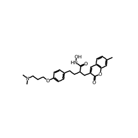 Cc1ccc2cc(CC(CCc3ccc(OCCCN(C)C)cc3)C(=O)NO)c(=O)oc2c1